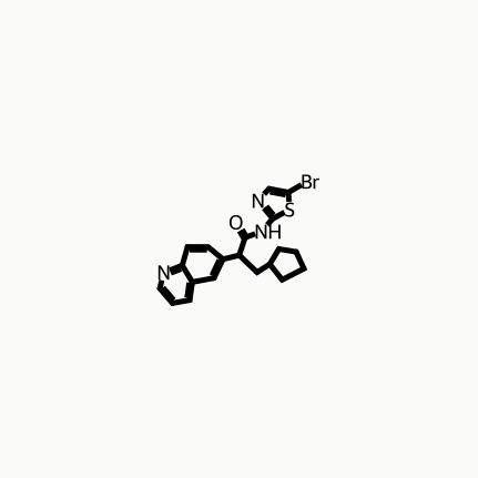 O=C(Nc1ncc(Br)s1)C(CC1CCCC1)c1ccc2ncccc2c1